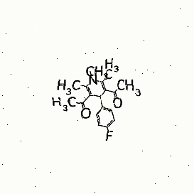 CC(=O)C1=C(C)N(C)C(C)=C(C(C)=O)C1c1ccc(F)cc1